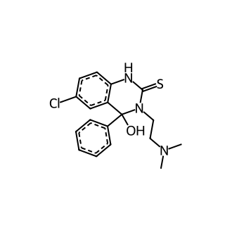 CN(C)CCN1C(=S)Nc2ccc(Cl)cc2C1(O)c1ccccc1